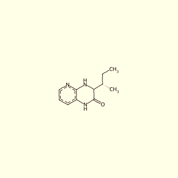 CC[C@H](C)C1Nc2ncccc2NC1=O